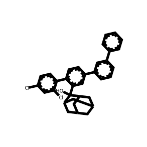 OC1(c2cc(-c3cccc(-c4ccccc4)c3)ccc2-c2ccc(Cl)cc2Cl)C2CC3CC(C2)CC1C3